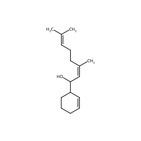 CC(C)=CCCC(C)=CC(O)C1C=CCCC1